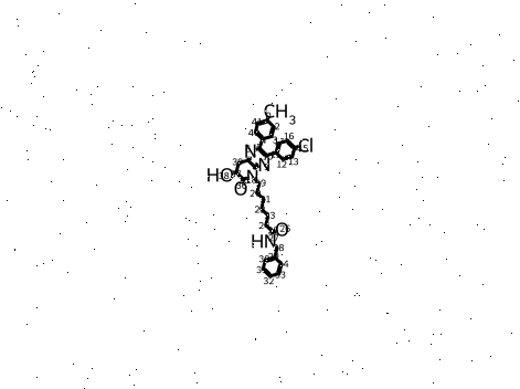 Cc1ccc(-c2nc3c(nc2-c2ccc(Cl)cc2)N(CCCCCCC(=O)NCc2ccccc2)C(=O)C(O)C3)cc1